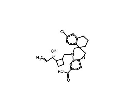 C=C[C@H](O)C1CCC1CN1CC2(CCCc3cc(Cl)ccc32)COc2ccc(C(=O)O)cc21